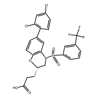 O=C(O)CC[C@H]1CN(S(=O)(=O)c2cccc(C(F)(F)F)c2)c2cc(-c3ccc(Cl)cc3Cl)ccc2O1